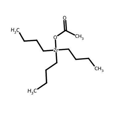 CCC[CH2][Zr]([CH2]CCC)([CH2]CCC)[O]C(C)=O